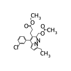 CCOC(=O)CCc1c(COC(C)=O)nn2c(CC)ccc2c1-c1cccc(Cl)c1